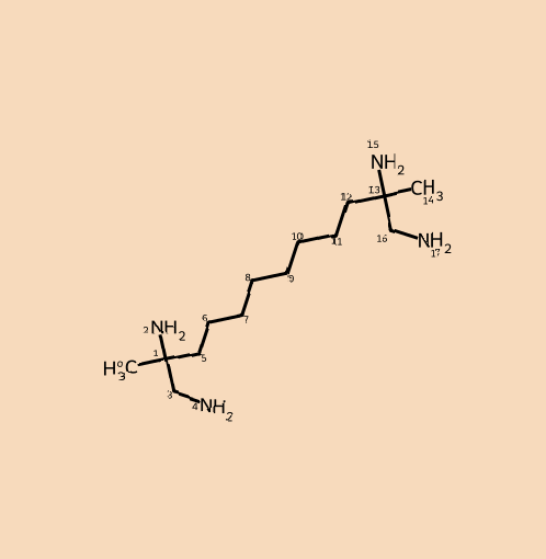 CC(N)(CN)CCCCCCCCC(C)(N)CN